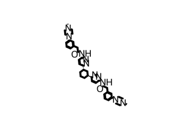 CN1CCN(c2cccc(CC(=O)Nc3ccc([C@H]4CCC[C@H](c5ccc(NC(=O)Cc6cccc(N7CCN(C)CC7)c6)nn5)C4)nn3)c2)CC1